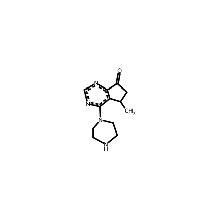 CC1CC(=O)c2ncnc(N3CCNCC3)c21